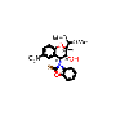 COC(OC)[C@@]1(C)Oc2ccc([N+](=O)[O-])cc2[C@H](n2c(=S)oc3ccccc32)[C@H]1O